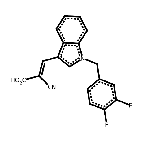 N#C/C(=C\c1cn(Cc2ccc(F)c(F)c2)c2ccccc12)C(=O)O